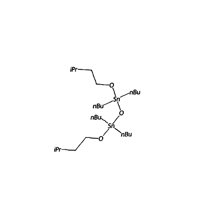 CCC[CH2][Sn]([CH2]CCC)([O]CCC(C)C)[O][Sn]([CH2]CCC)([CH2]CCC)[O]CCC(C)C